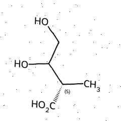 C[C@H](C(=O)O)C(O)CO